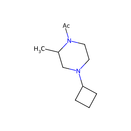 CC(=O)N1CCN(C2CCC2)CC1C